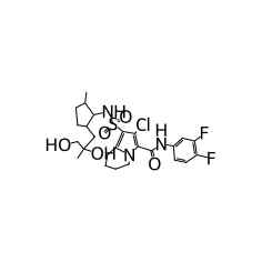 CC1CCC(CC(C)(O)CO)C1NS(=O)(=O)c1c(Cl)c(C(=O)Nc2ccc(F)c(F)c2)n2c1CCCC2